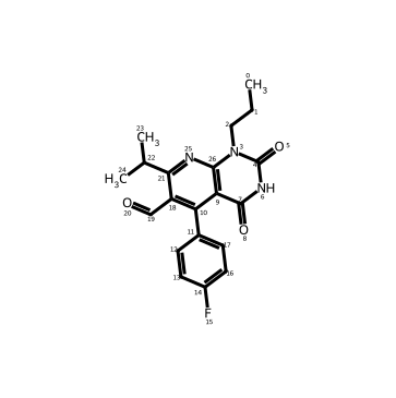 CCCn1c(=O)[nH]c(=O)c2c(-c3ccc(F)cc3)c(C=O)c(C(C)C)nc21